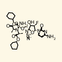 C[C@@H](C(=O)OC1CCCCC1)N([C@@H](C)C(=O)OC1CCCCC1)P(N)(=O)OC[C@@]1(N=[N+]=[N-])O[C@@H](n2ccc(N)nc2=O)[C@H](F)[C@@H]1O